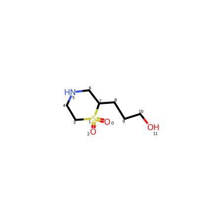 O=S1(=O)CCNCC1CCCO